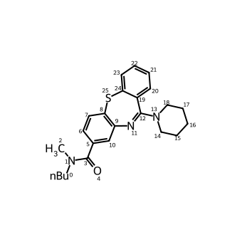 CCCCN(C)C(=O)c1ccc2c(c1)N=C(N1CCCCC1)c1ccccc1S2